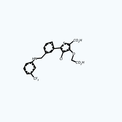 O=C(O)COc1c(C(=O)O)sc(-c2cccc(CNc3cccc(C(F)(F)F)c3)c2)c1Cl